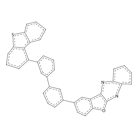 c1cc(-c2cccc(-c3cccc4sc5ccccc5c34)c2)cc(-c2ccc3oc4nc5ccccc5nc4c3c2)c1